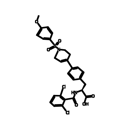 COc1ccc(S(=O)(=O)N2CC=C(c3ccc(C[C@H](NC(=O)c4c(Cl)cccc4Cl)C(=O)O)cc3)CC2)cc1